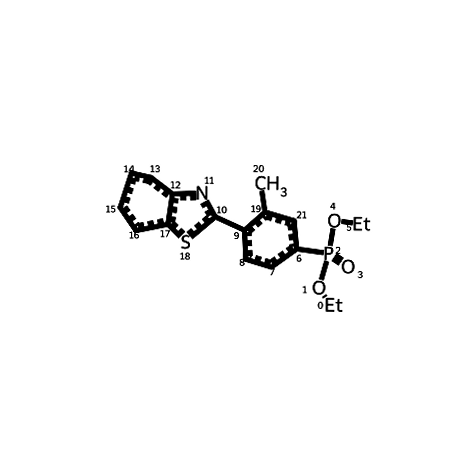 CCOP(=O)(OCC)c1ccc(-c2nc3ccccc3s2)c(C)c1